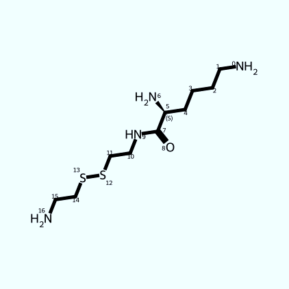 NCCCC[C@H](N)C(=O)NCCSSCCN